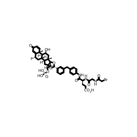 C[C@]12C=CC(=O)C=C1[C@@H](F)C[C@H]1[C@@H]3C[C@H]4O[C@@H](c5cccc(Cc6ccc(NC(=O)[C@H](CCC(=O)O)NC(=O)CNC(=O)CBr)cc6)c5)O[C@@]4(C(=O)COP(=O)(O)O)[C@@]3(C)C[C@H](O)[C@@]12F